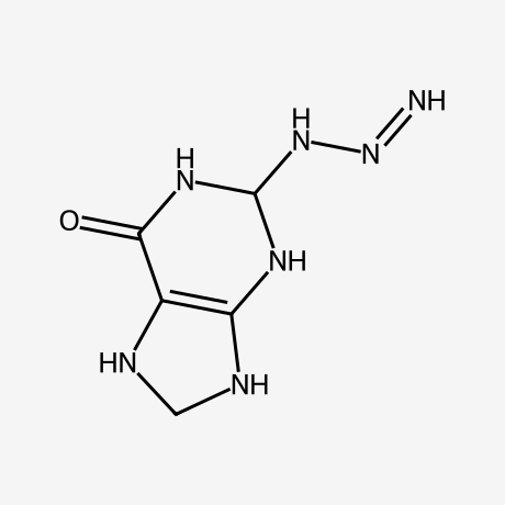 N=NNC1NC(=O)C2=C(NCN2)N1